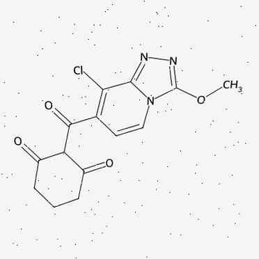 COc1nnc2c(Cl)c(C(=O)C3C(=O)CCCC3=O)ccn12